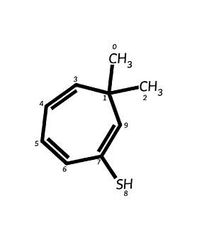 CC1(C)C=CC=CC(S)=C1